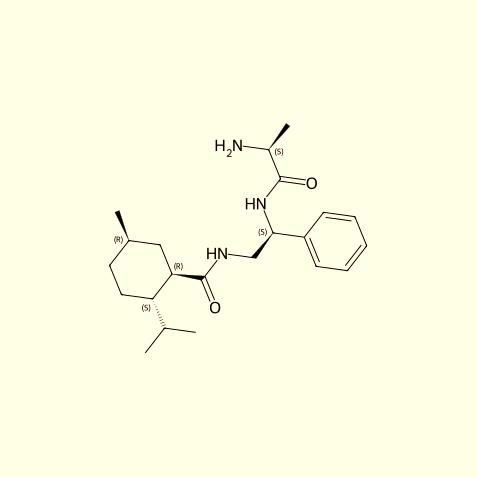 CC(C)[C@@H]1CC[C@@H](C)C[C@H]1C(=O)NC[C@@H](NC(=O)[C@H](C)N)c1ccccc1